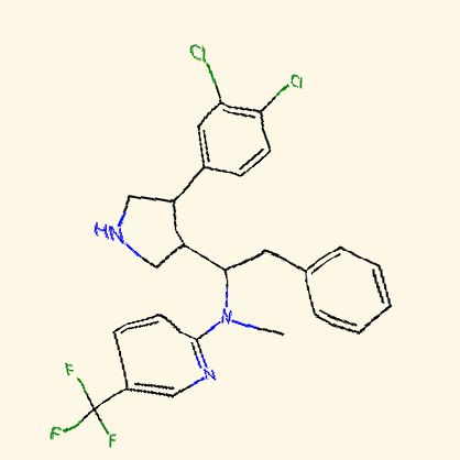 CN(c1ccc(C(F)(F)F)cn1)C(Cc1ccccc1)C1CNCC1c1ccc(Cl)c(Cl)c1